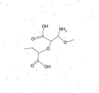 CCC(OC(C(=O)O)C(N)OC)C(=O)O